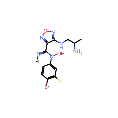 [H]/N=C(/c1nonc1NCC(C)N)N(O)c1ccc(Br)c(F)c1